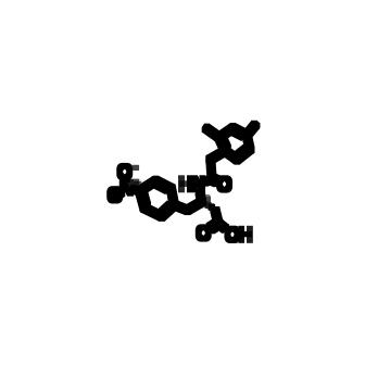 Cc1ccc(CC(=O)N[C@H](CC(=O)O)Cc2ccc([N+](=O)[O-])cc2)c(C)c1